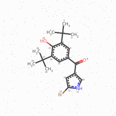 CC(C)(C)c1cc(C(=O)c2c[nH]c(Br)c2)cc(C(C)(C)C)c1O